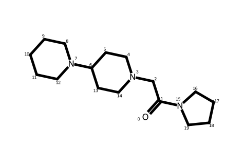 O=C(CN1CCC(N2CCCCC2)CC1)N1C[CH]CC1